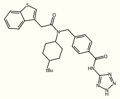 CC(C)(C)C1CCC(N(Cc2ccc(C(=O)Nc3nn[nH]n3)cc2)C(=O)Cc2csc3ccccc23)CC1